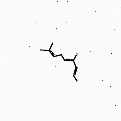 CC=CC(C)=CCC=C(C)C